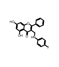 O=c1c(CNc2ccc(F)cc2)c(-c2ccccc2)oc2cc(O)cc(O)c12